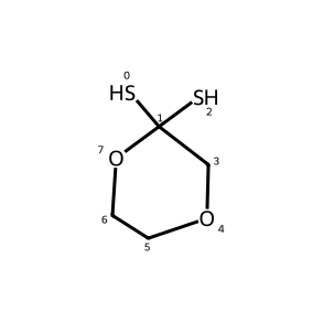 SC1(S)COCCO1